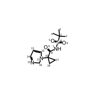 CC(C)(C)S(=O)(=O)NC(=O)C1(N2C=CC=NC2)CC1